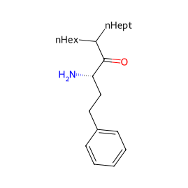 CCCCCCCC(CCCCCC)C(=O)[C@@H](N)CCc1ccccc1